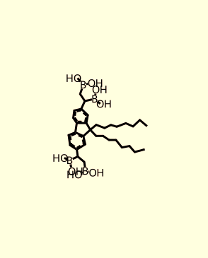 CCCCCCCCC1(CCCCCCCC)c2cc(C(CB(O)O)B(O)O)ccc2-c2ccc(C(CB(O)O)B(O)O)cc21